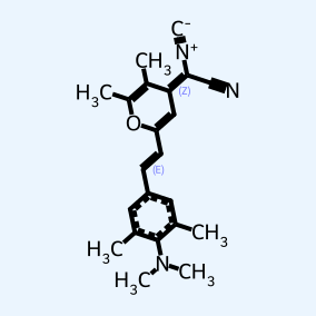 [C-]#[N+]/C(C#N)=C1C=C(/C=C/c2cc(C)c(N(C)C)c(C)c2)OC(C)=C/1C